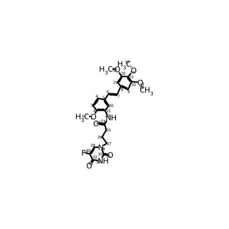 COc1ccc(/C=C/c2cc(OC)c(OC)c(OC)c2)cc1NC(=O)CCCn1cc(F)c(=O)[nH]c1=O